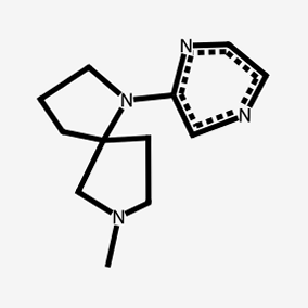 CN1CCC2(CCCN2c2cnccn2)C1